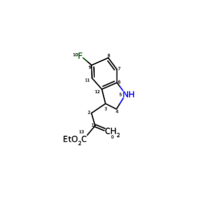 C=C(CC1CNc2ccc(F)cc21)C(=O)OCC